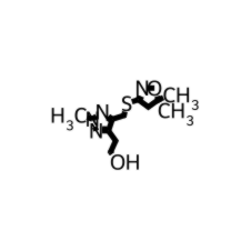 Cn1nc(CCO)c(CSC2=NOC(C)(C)C2)n1